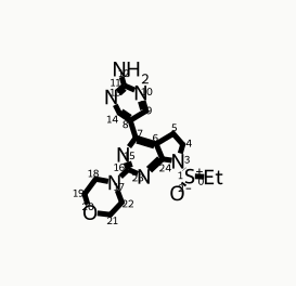 CC[S+]([O-])N1CCc2c(-c3cnc(N)nc3)nc(N3CCOCC3)nc21